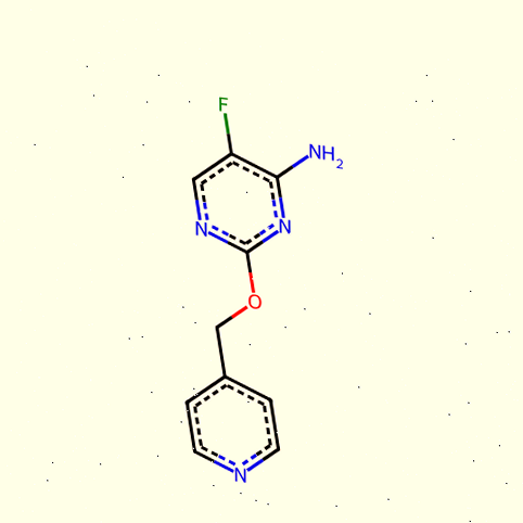 Nc1nc(OCc2ccncc2)ncc1F